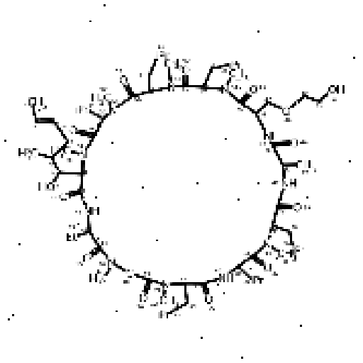 C/C=C/CC(C)C(O)C1C(=O)NC(CC)C(=O)N(C)CC(=O)N(C)C(CC(C)C)C(=O)NC(C(C)C)C(=O)N(C)C(CC(C)C)C(=O)NC(C)C(=O)NC(COCCO)C(=O)N(C)C(CC(C)C)C(=O)N(C)C(CC(C)C)C(=O)N(C)C(C(C)C)C(=O)N1C